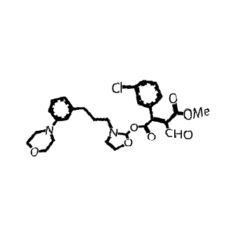 COC(=O)/C(C=O)=C(/C(=O)OC1OCCN1CCCc1cccc(N2CCOCC2)c1)c1cccc(Cl)c1